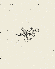 C=C/C=C\N=C(/N)n1nc(CC2C(=O)N(CC(=O)N3CCCCC3C(C)C)c3ccccc3-n3c(-c4ccccc4)nnc32)c2ccccc21